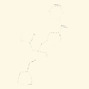 CNC(=N)N[C@@](C=O)(CCC1CCCCC1)CC1CCN(C(=O)c2ccccn2)C1